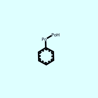 [PoH][Po][c]1ccccc1